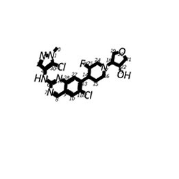 Cn1ncc(Nc2ncc3cc(Cl)c(C4CCN(C5COC[C@H]5O)CC4F)cc3n2)c1Cl